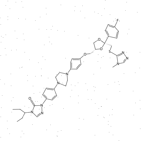 CCC(CC)n1cnn(-c2ccc(N3CCN(c4ccc(OC[C@@H]5CO[C@@](CSc6nncn6C)(c6ccc(F)cc6)O5)cc4)CC3)cc2)c1=O